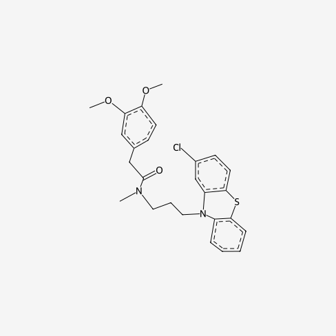 COc1ccc(CC(=O)N(C)CCCN2c3ccccc3Sc3ccc(Cl)cc32)cc1OC